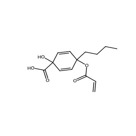 C=CC(=O)OC1(CCCC)C=CC(O)(C(=O)O)C=C1